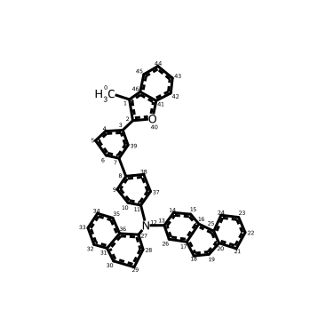 Cc1c(-c2cccc(-c3ccc(N(c4ccc5c(ccc6ccccc65)c4)c4cccc5ccccc45)cc3)c2)oc2ccccc12